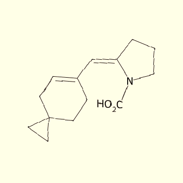 O=C(O)N1CCCC1=CC1=CCC2(CC1)CC2